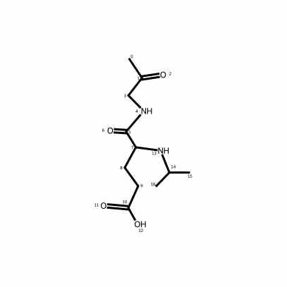 CC(=O)CNC(=O)C(CCC(=O)O)NC(C)C